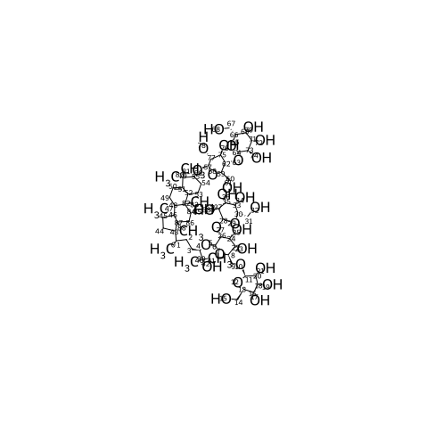 C[C@H](CC[C@@H](O[C@@H]1O[C@H](CO[C@@H]2O[C@H](CO)[C@@H](O)[C@H](O)[C@H]2O)[C@@H](O)[C@H](O)[C@H]1O[C@H]1O[C@@H](CO)[C@H](O)[C@@H](O)[C@@H]1O)C(C)(C)O)C1CC[C@@]2(C)C3CC=C4C(CC[C@H](O[C@@H]5O[C@H](CO)[C@@H](O[C@@H]6O[C@H](CO)[C@@H](O)[C@H](O)[C@H]6O)[C@H](O)[C@H]5O)C4(C)C)[C@]3(C)[C@H](O)C[C@]12C